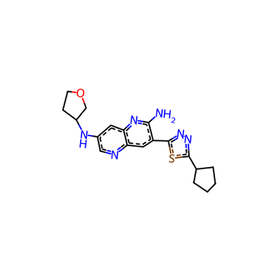 Nc1nc2cc(NC3CCOC3)cnc2cc1-c1nnc(C2CCCC2)s1